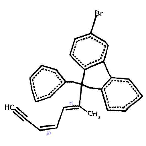 C#C/C=C\C=C(/C)C1(c2ccccc2)c2ccccc2-c2cc(Br)ccc21